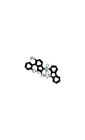 CCC1=Cc2c(ccc(C(C)C)c2-c2ccccc2C)[CH]1[Zr]([Cl])([Cl])[c]1cccc2c1[SiH2]c1ccccc1-2